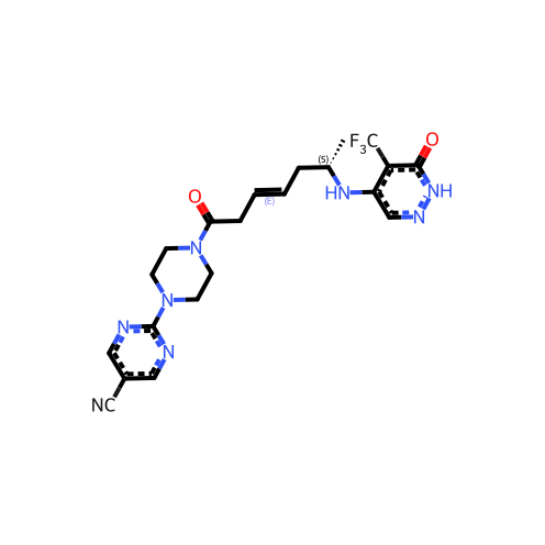 C[C@@H](C/C=C/CC(=O)N1CCN(c2ncc(C#N)cn2)CC1)Nc1cn[nH]c(=O)c1C(F)(F)F